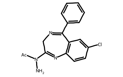 CC(=O)N(N)C1=Nc2ccc(Cl)cc2C(c2ccccc2)=NC1